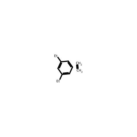 C=C.CCc1cccc(CC)c1